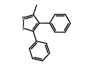 Cc1nsc(-c2ccccc2)c1-c1ccccc1